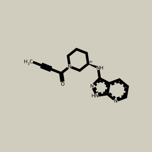 CC#CC(=O)N1CCC[C@@H](Nc2n[nH]c3ncc[c]c23)C1